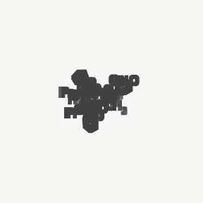 CC(C)OC(=O)[C@H](C)NP(=O)(OC[C@H]1O[C@@H](n2ccc(=O)[nH]c2=O)C(F)(F)[C@]1(C)COP(=O)(N[C@@H](C)C(=O)OC(C)C)Oc1ccccc1)Oc1ccccc1